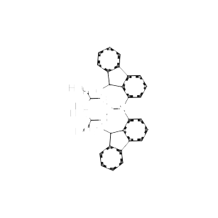 CC(C)OP(OC(C)C)N(c1cccc2c1C(C)c1ccccc1-2)c1cccc2c1C(C)c1ccccc1-2